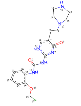 O=C(Nc1nc(=O)c(CCN2CCNCC2)c[nH]1)Nc1ccccc1OCF